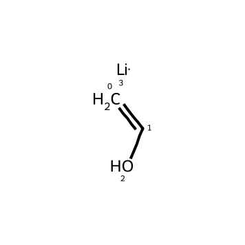 C=CO.[Li]